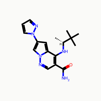 C[C@@H](Nc1c(C(N)=O)cnn2cc(-n3cccn3)cc12)C(C)(C)C